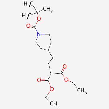 CCOC(=O)C(CCC1CCN(C(=O)OC(C)(C)C)CC1)C(=O)OCC